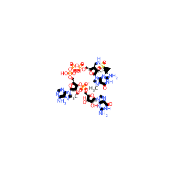 CO[C@@H]1[C@H](OP(=O)([O-])OC[C@H]2O[C@@H](n3cnc4c(=O)[nH]c(N)nc43)[C@H](O)[C@@H]2O)[C@@H](COP(=O)(O)OP(=O)(O)OP(=O)(O)OC[C@H]2O[C@@H](n3c[n+](C)c4c(=O)[nH]c(N)nc43)[C@H](C)[C@@H]2CNS(=O)(=O)C2CC2)O[C@H]1n1cnc2c(N)ncnc21